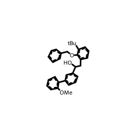 COc1ccccc1-c1cccc(C(O)Cc2cccc(C(C)(C)C)c2OCc2ccccc2)c1